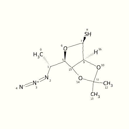 C[C@@H](N=[N+]=[N-])[C@H]1O[C@@H](S)[C@H]2OC(C)(C)OC21